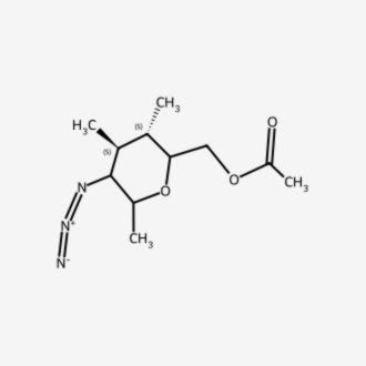 CC(=O)OCC1OC(C)C(N=[N+]=[N-])[C@@H](C)[C@@H]1C